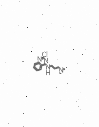 CN(C)CCCNc1nc(Cl)nc2ccccc12